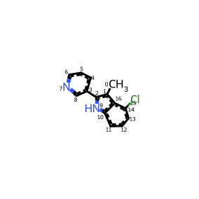 Cc1c(-c2cccnc2)[nH]c2cccc(Cl)c12